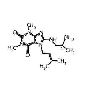 CC(C)=CCn1c(NC[C@H](C)N)nc2c1c(=O)n(C)c(=O)n2C